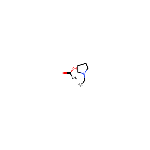 CC(=O)O.CCN1CCCC1